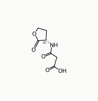 O=C(O)CC(=O)N[C@H]1CCOC1=O